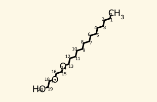 CCCCCCCCCCCCCCOCCOCCO